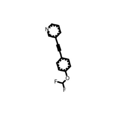 FC(F)Oc1ccc(C#Cc2cccnc2)cc1